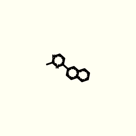 Cc1nccc(-c2ccc3ccccc3c2)n1